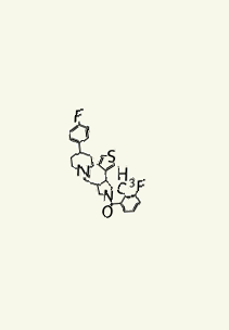 Cc1c(F)cccc1C(=O)N1CC(CN2CCC(c3ccc(F)cc3)CC2)C(c2ccsc2)C1